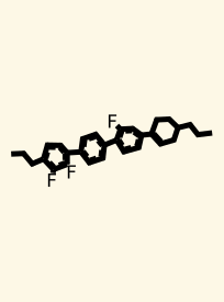 CCCc1ccc(-c2ccc(-c3ccc(C4=CCC(CCC)CC4)cc3F)cc2)c(F)c1F